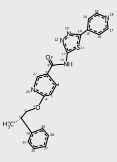 C[C@H](COc1ccc(C(=O)Nc2nnc(-c3ccncc3)s2)cn1)c1ccccc1